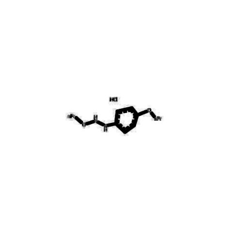 CCCONNc1ccc(OCCC)cc1.Cl